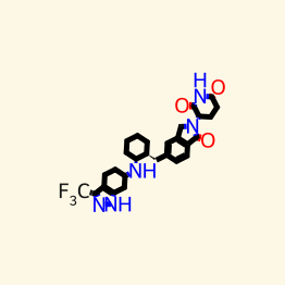 O=C1CCC(N2Cc3cc(C[C@H]4CCCC[C@@H]4NC4CCc5c(C(F)(F)F)n[nH]c5C4)ccc3C2=O)C(=O)N1